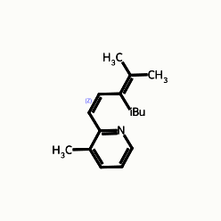 CCC(C)C(/C=C\c1ncccc1C)=C(C)C